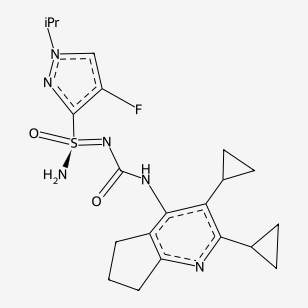 CC(C)n1cc(F)c([S@@](N)(=O)=NC(=O)Nc2c3c(nc(C4CC4)c2C2CC2)CCC3)n1